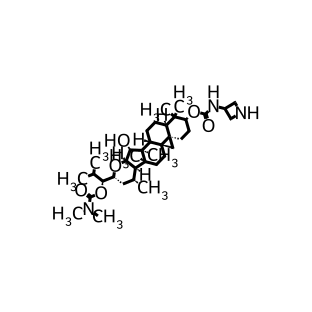 CC(C)[C@@H](OC(=O)N(C)C)[C@H]1C[C@@H](C)[C@H]2[C@H](O1)[C@H](O)[C@@]1(C)[C@@H]3CC[C@H]4C(C)(C)[C@@H](OC(=O)NC5CNC5)CC[C@@]45C[C@@]35CC[C@]21C